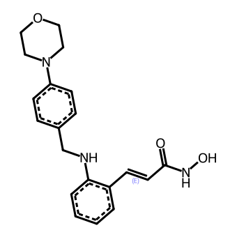 O=C(/C=C/c1ccccc1NCc1ccc(N2CCOCC2)cc1)NO